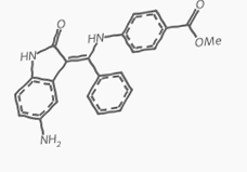 COC(=O)c1ccc(N/C(=C2\C(=O)Nc3ccc(N)cc32)c2ccccc2)cc1